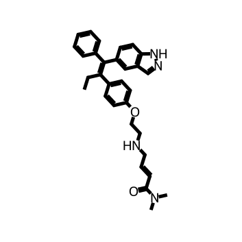 CCC(=C(c1ccccc1)c1ccc2[nH]ncc2c1)c1ccc(OCCNCC=CC(=O)N(C)C)cc1